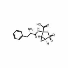 N[C@@H](Cc1ccccc1)C(=O)N[C@@]1(C(=O)O)CS(=O)(=O)[C@H]2C[C@H]21